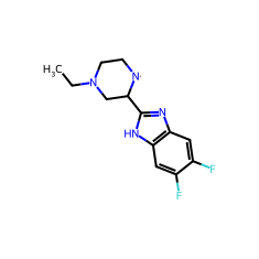 CCN1CC[N]C(c2nc3cc(F)c(F)cc3[nH]2)C1